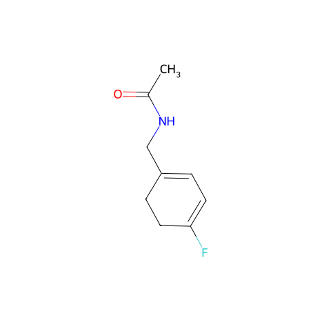 CC(=O)NCC1=CC=C(F)CC1